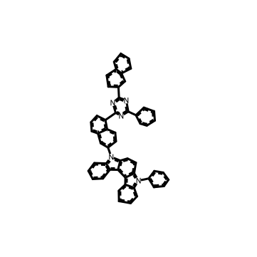 c1ccc(-c2nc(-c3ccc4ccccc4c3)nc(-c3cccc4cc(-n5c6ccccc6c6c7c8ccccc8n(-c8ccccc8)c7ccc65)ccc34)n2)cc1